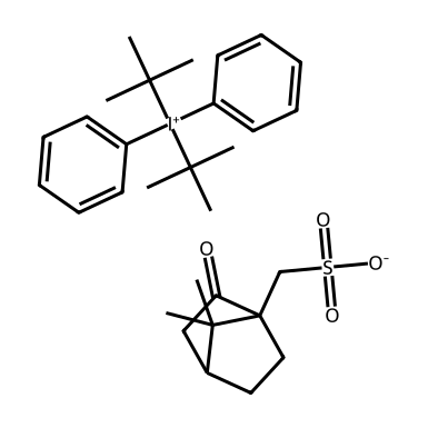 CC(C)(C)[I+](c1ccccc1)(c1ccccc1)C(C)(C)C.CC1(C)C2CCC1(CS(=O)(=O)[O-])C(=O)C2